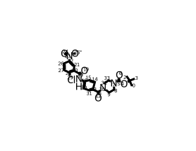 CC(C)(C)OC(=O)N1CCN(C(=O)c2ccc(NC(=O)c3cc([N+](=O)[O-])ccc3Cl)cc2)CC1